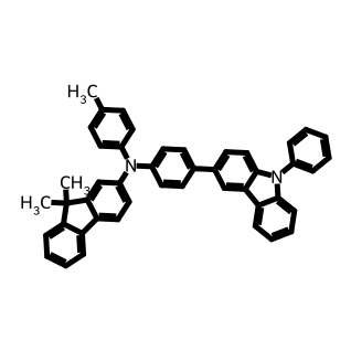 Cc1ccc(N(c2ccc(-c3ccc4c(c3)c3ccccc3n4-c3ccccc3)cc2)c2ccc3c(c2)C(C)(C)c2ccccc2-3)cc1